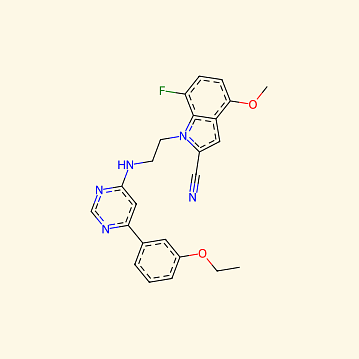 CCOc1cccc(-c2cc(NCCn3c(C#N)cc4c(OC)ccc(F)c43)ncn2)c1